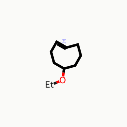 CCOC1CC/C=C/CCC1